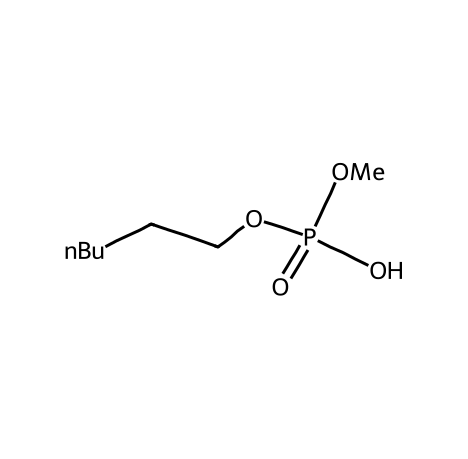 CCCCCCOP(=O)(O)OC